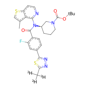 [2H]C([2H])([2H])c1nnc(-c2ccc(C(=O)N(c3nccc4scc(C)c34)[C@@H]3CCCN(C(=O)OC(C)(C)C)C3)c(F)c2)s1